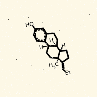 CC/C=C1\CC[C@H]2[C@@H]3CCc4cc(O)ccc4[C@H]3CC[C@]12C